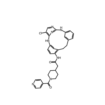 O=C(CC1CCN(C(=O)c2ccncc2)CC1)Nc1ccc2cc1CCc1cccc(c1)Nc1ncc(Cl)c(n1)N2